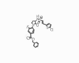 O=C(OCc1ccccc1)c1ccc(N2CCC(NS(=O)(=O)C=Cc3ccc(Cl)s3)C2=O)c(F)c1